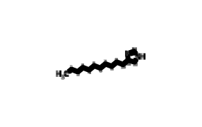 CCCCCCCCCCCC1CNC=N1